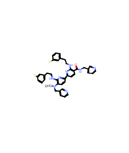 O=CN(Cc1cccnc1)c1ccc(-c2ccc(C(=O)NCc3cccnc3)c(NCCc3cccc(F)c3)n2)nc1NCCc1cccc(F)c1